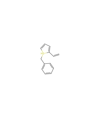 C=CC1=CC=C[SH]1Cc1ccccc1